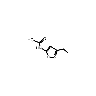 CCc1cc(NC(=O)O)on1